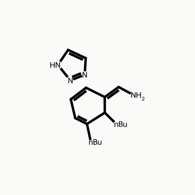 CCCCC1=CC=CC(=CN)C1CCCC.c1c[nH]nn1